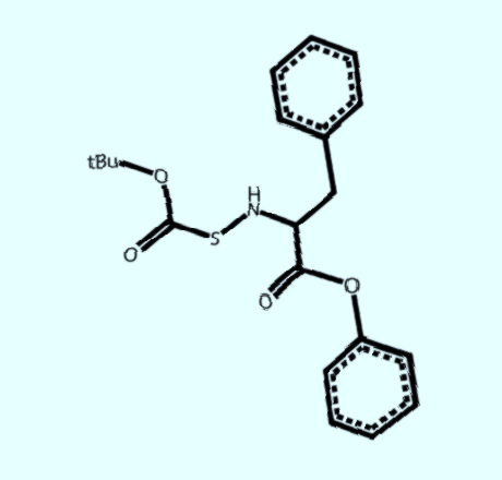 CC(C)(C)OC(=O)SNC(Cc1ccccc1)C(=O)Oc1ccccc1